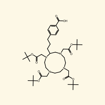 CC(C)(C)OC(=O)CN1CCN(CC(=O)OC(C)(C)C)CCN(CC(=O)OC(C)(C)C)C(CCCc2ccc(C(=O)O)cc2)CN(CC(=O)OC(C)(C)C)CC1